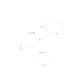 O=C1CCCCc2oc(=O)c(C(c3ccccc3)C3CC3)c(O)c21